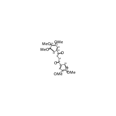 COc1cc(C(=O)CCC(=O)c2cc(OC)c(OC)c(OC)c2)cnc1OC